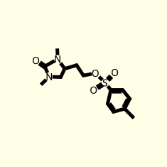 Cc1ccc(S(=O)(=O)OCCC2CN(C)C(=O)N2C)cc1